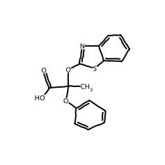 CC(Oc1ccccc1)(Oc1nc2ccccc2s1)C(=O)O